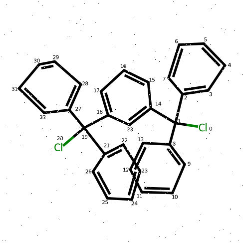 ClC(c1ccccc1)(c1ccccc1)c1cccc(C(Cl)(c2ccccc2)c2ccccc2)c1